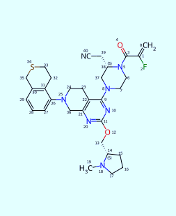 C=C(F)C(=O)N1CCN(c2nc(OC[C@@H]3CCCN3C)nc3c2CCN(c2cccc4c2CCSC4)C3)C[C@@H]1CC#N